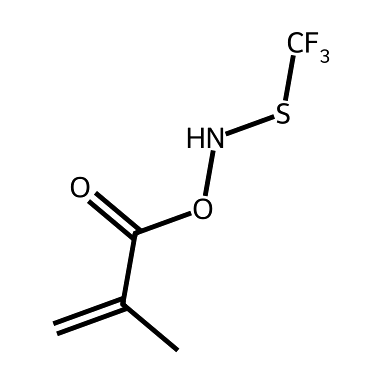 C=C(C)C(=O)ONSC(F)(F)F